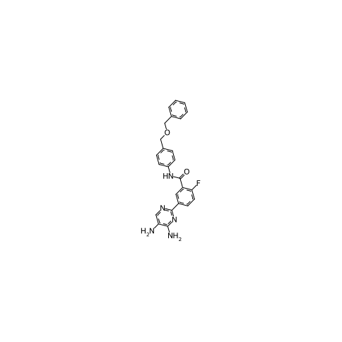 Nc1cnc(-c2ccc(F)c(C(=O)Nc3ccc(COCc4ccccc4)cc3)c2)nc1N